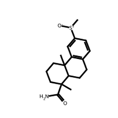 C[S+]([O-])c1ccc2c(c1)C1(C)CCCC(C)(C(N)=O)C1CC2